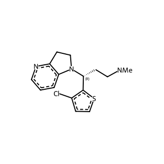 CNCC[C@H](c1sccc1Cl)N1CCc2ncccc21